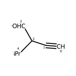 C#CC([C]=O)C(C)C